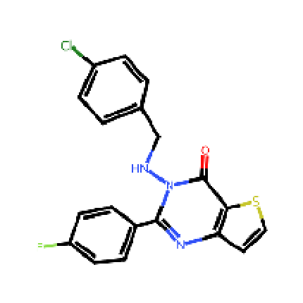 O=c1c2sccc2nc(-c2ccc(F)cc2)n1NCc1ccc(Cl)cc1